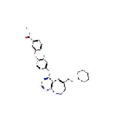 CC(C)(C)NC(=O)c1cccc(Oc2ccc(Nc3ncnc4c3C=C(CN[C@H]3CC[C@H](O)CC3)CCN4)cc2Cl)c1.Cl.Cl